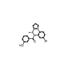 C[C@H]1c2cccn2-c2ccc(Br)cc2N1C(=O)c1cccc(O)c1